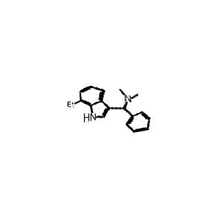 CCc1cccc2c(C(c3ccccc3)N(C)C)c[nH]c12